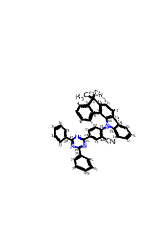 CC1(C)c2ccccc2-c2c1ccc1c3ccccc3n(-c3ccc(-c4nc(-c5ccccc5)nc(-c5ccccc5)n4)cc3C#N)c21